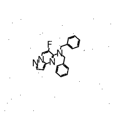 Fc1cn2nccc2nc1N(Cc1ccccc1)Cc1ccccc1